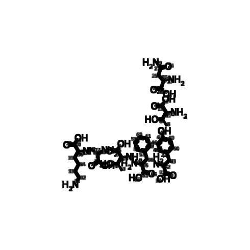 C[C@@H](O)[C@H](N)C(=O)O.C[C@@H](O)[C@H](N)C(=O)O.C[C@H](N)C(=O)O.NC(=O)C[C@H](N)C(=O)O.NCCCC[C@H](N)C(=O)O.N[C@@H](Cc1ccc(O)cc1)C(=O)O.N[C@@H](Cc1ccccc1)C(=O)O